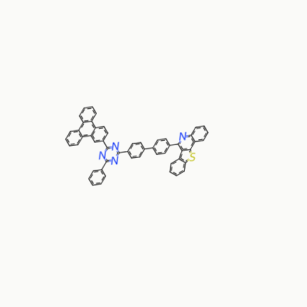 c1ccc(-c2nc(-c3ccc(-c4ccc(-c5nc6ccccc6c6sc7ccccc7c56)cc4)cc3)nc(-c3ccc4c5ccccc5c5ccccc5c4c3)n2)cc1